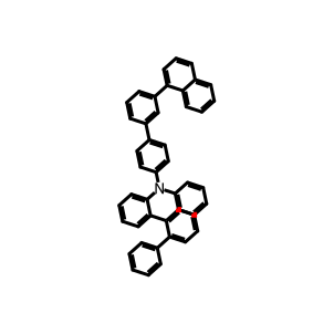 c1ccc(-c2ccccc2-c2ccccc2N(c2ccccc2)c2ccc(-c3cccc(-c4cccc5ccccc45)c3)cc2)cc1